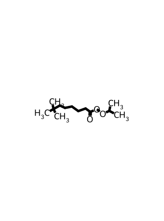 CC(C)OOC(=O)CCCCCC(C)(C)C